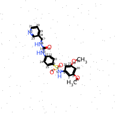 COc1cc(NS(=O)(=O)c2ccc(NC(=O)NCc3cccnc3)cc2)cc(OC)c1